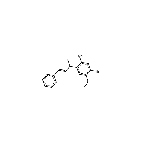 COc1cc(C(C)/C=C/c2ccccc2)c(O)cc1Br